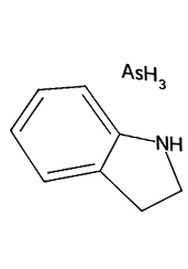 [AsH3].c1ccc2c(c1)CCN2